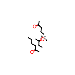 CC(C)=O.CCC(C)=O.CCCC(C)=O.CCCCC(C)=O